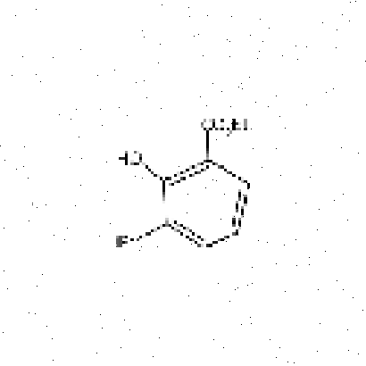 CCOC(=O)c1cccc(C(C)C)c1O